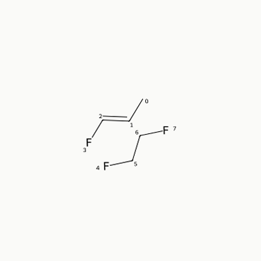 CC=CF.FCCF